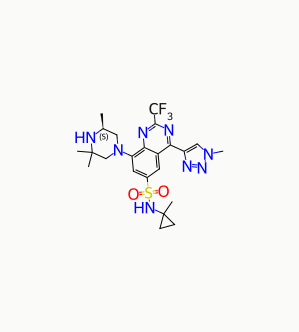 C[C@H]1CN(c2cc(S(=O)(=O)NC3(C)CC3)cc3c(-c4cn(C)nn4)nc(C(F)(F)F)nc23)CC(C)(C)N1